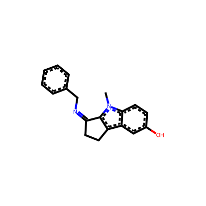 Cn1c2c(c3cc(O)ccc31)CCC2=NCc1ccccc1